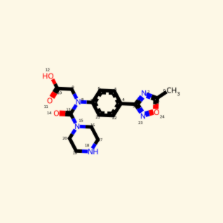 Cc1nc(-c2ccc(N(CC(=O)O)C(=O)N3CCNCC3)cc2)no1